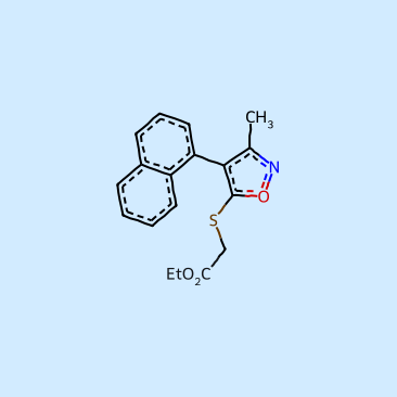 CCOC(=O)CSc1onc(C)c1-c1cccc2ccccc12